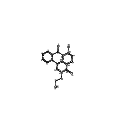 O=C1c2ccccc2-c2nn(CCO)c(=O)c3ccc(Cl)c1c23